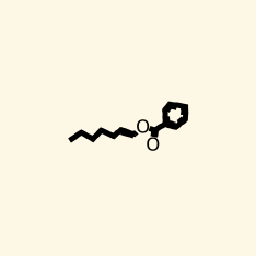 CCCCCC=COC(=O)c1ccccc1